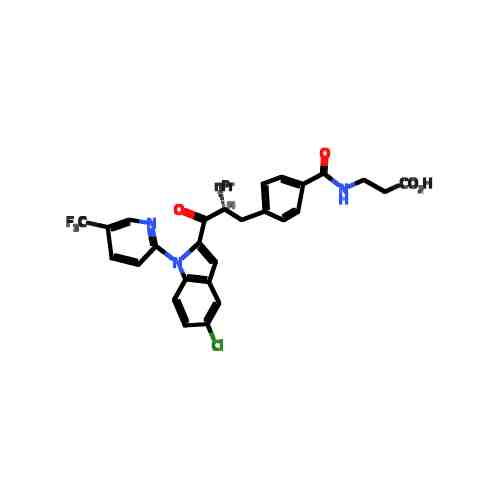 CCC[C@H](Cc1ccc(C(=O)NCCC(=O)O)cc1)C(=O)c1cc2cc(Cl)ccc2n1-c1ccc(C(F)(F)F)cn1